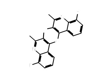 Cc1nc2c(F)cccc2c(Oc2c(C)c(C)nc3c(F)cccc23)c1C